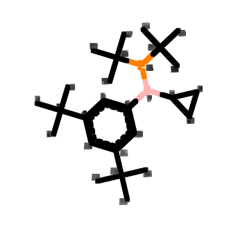 CC(C)(C)c1cc(B(C2CC2)P(C(C)(C)C)C(C)(C)C)cc(C(C)(C)C)c1